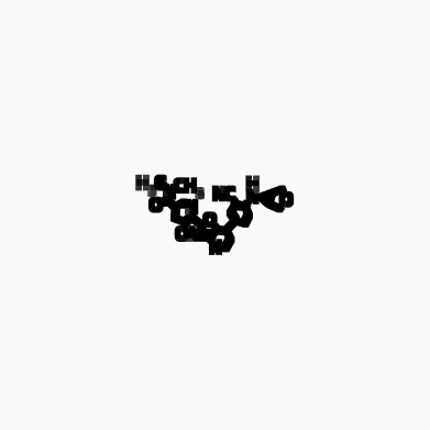 COc1cc(C(=O)N(C)C)cnc1-c1cc2nccc(-c3ccc(NC4C5COCC54)c(C#N)c3)c2o1